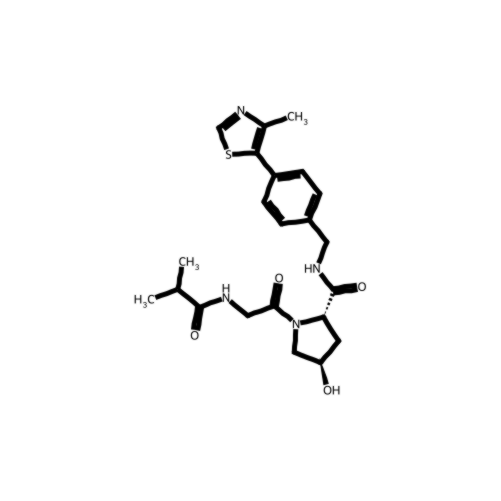 Cc1ncsc1-c1ccc(CNC(=O)[C@@H]2C[C@@H](O)CN2C(=O)CNC(=O)C(C)C)cc1